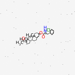 CC(=O)[C@H]1CCC2C3CCC4=C[C@@H](OC(=O)[C@H](Cc5ccccc5)NCl)CC[C@]4(C)C3CC[C@@]21C